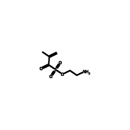 C=C(C)C(=O)S(=O)(=O)OCCN